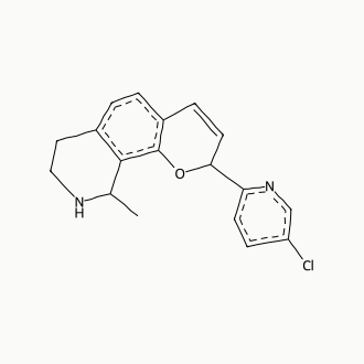 CC1NCCc2ccc3c(c21)OC(c1ccc(Cl)cn1)C=C3